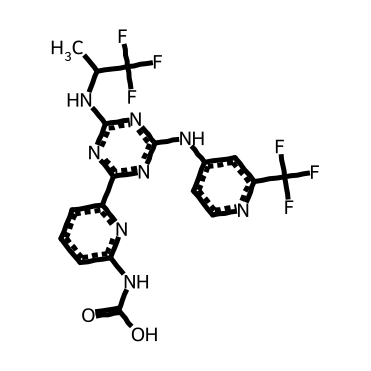 CC(Nc1nc(Nc2ccnc(C(F)(F)F)c2)nc(-c2cccc(NC(=O)O)n2)n1)C(F)(F)F